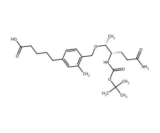 Cc1cc(CCCCC(=O)O)ccc1CO[C@H](C)[C@H](CCC(N)=O)NC(=O)OC(C)(C)C